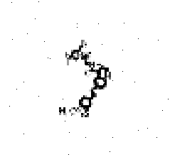 CN1CSc2cc(/C=C/c3ccc4nccc(C(=O)NCC(=O)N5CC(F)(F)CC5C#N)c4c3)ccc21